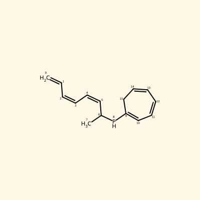 C=C/C=C\C=C/C(C)PC1=CC=CC=CC1